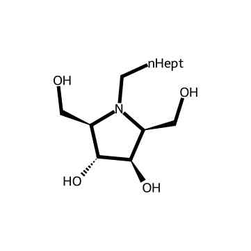 CCCCCCCCN1[C@H](CO)[C@@H](O)[C@H](O)[C@@H]1CO